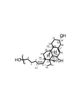 C[C@H](CCCC(C)(C)O)[C@H]1CC[C@H]2[C@@H]3[C@@H](O)C=C4C[C@@H](O)CC[C@]4(C)[C@H]3CC[C@]12C